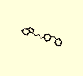 c1ccc(Cc2ccc(OCCn3ccc4ncccc43)cc2)cc1